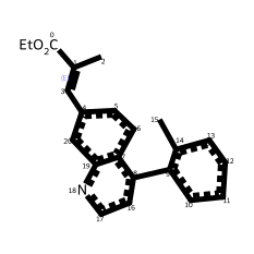 CCOC(=O)/C(C)=C/c1ccc2c(-c3ccccc3C)ccnc2c1